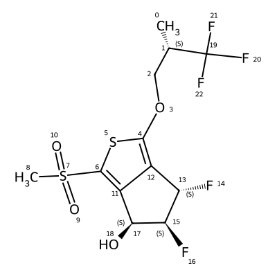 C[C@@H](COc1sc(S(C)(=O)=O)c2c1[C@H](F)[C@@H](F)[C@H]2O)C(F)(F)F